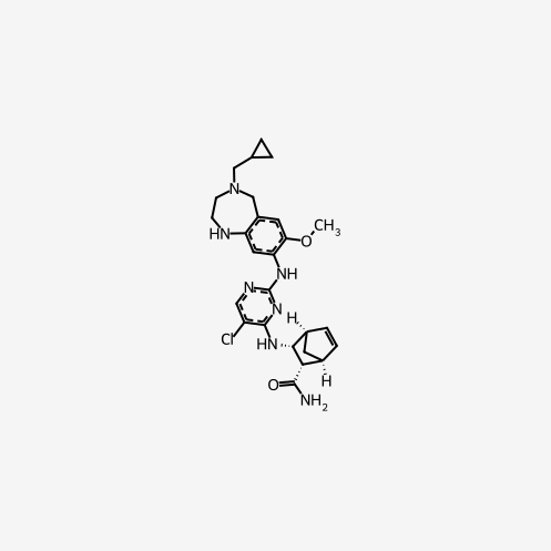 COc1cc2c(cc1Nc1ncc(Cl)c(N[C@H]3[C@@H](C(N)=O)[C@@H]4C=C[C@H]3C4)n1)NCCN(CC1CC1)C2